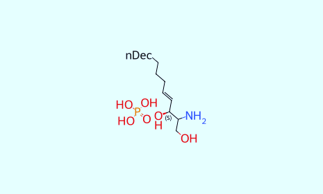 CCCCCCCCCCCCCC=C[C@H](O)C(N)CO.O=P(O)(O)O